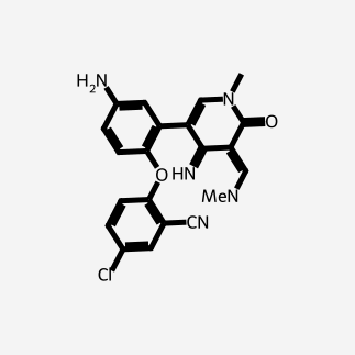 CN/C=C1\C(=N)C(c2cc(N)ccc2Oc2ccc(Cl)cc2C#N)=CN(C)C1=O